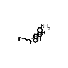 CC(C)CCCC(C)[C@H]1CC[C@H]2[C@@H]3CC[C@H]4C[C@H](N)CC[C@]4(C)[C@H]3CC[C@]12C